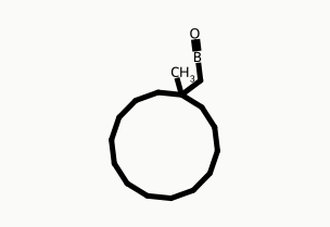 CC1(CB=O)CCCCCCCCCCCCC1